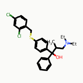 CCN(CC)CC(C)C(O)(c1ccccc1)c1ccc(SCc2ccc(Cl)cc2Cl)cc1